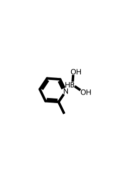 Cc1ccccn1.OBO